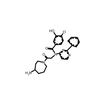 NC1CCCN(C(=O)CN(C(=O)c2ccc(Cl)c(O)c2)c2ccnc(-c3ccccc3)n2)CC1